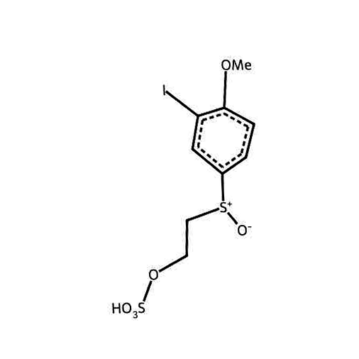 COc1ccc([S+]([O-])CCOS(=O)(=O)O)cc1I